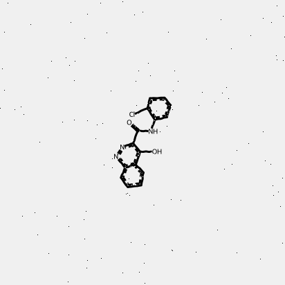 O=C(Nc1ccccc1Cl)c1nnc2ccccc2c1O